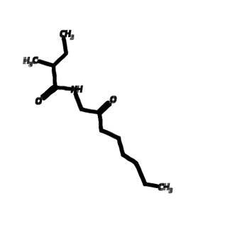 CCCCCCC(=O)CNC(=O)C(C)CC